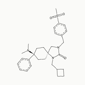 CN(C)[C@]1(c2ccccc2)CC[C@]2(CC1)CN(Cc1ccc(S(C)(=O)=O)cc1)C(=O)N2CC1CCC1